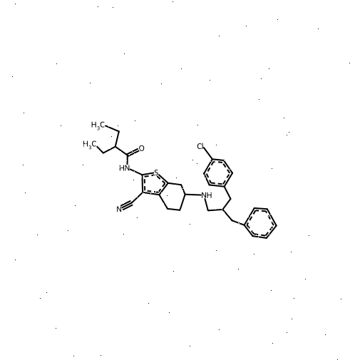 CCC(CC)C(=O)Nc1sc2c(c1C#N)CCC(NCC(Cc1ccccc1)Cc1ccc(Cl)cc1)C2